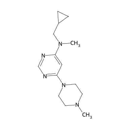 CN1CCN(c2cc(N(C)CC3CC3)ncn2)CC1